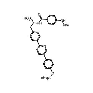 CCCCCCCOc1ccc(-c2cnc(-c3ccc(C[C@H](NC(=O)c4ccc(NCCCC)cc4)C(=O)O)cc3)nc2)cc1